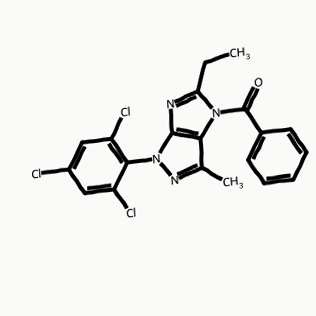 CCc1nc2c(c(C)nn2-c2c(Cl)cc(Cl)cc2Cl)n1C(=O)c1ccccc1